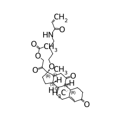 C=CC(=O)NCCCCO[C@]1(C(=O)COC(C)=O)CC[C@H]2[C@@H]3CCC4=CC(=O)CC[C@]4(C)[C@H]3C(=O)C[C@@]21C